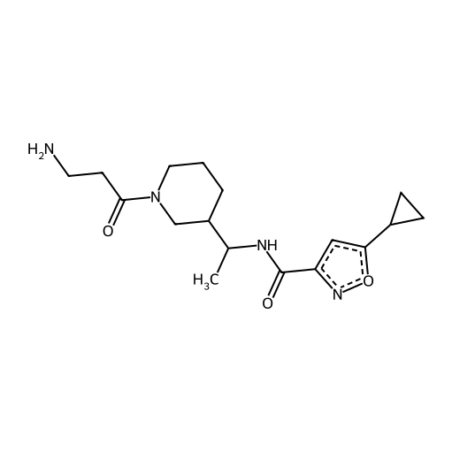 CC(NC(=O)c1cc(C2CC2)on1)C1CCCN(C(=O)CCN)C1